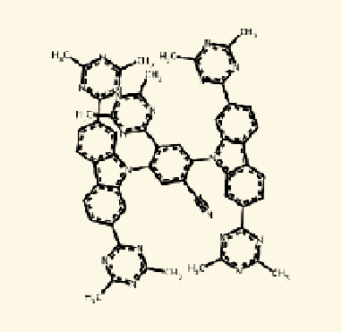 Cc1nc(C)nc(-c2ccc3c4ccc(-c5nc(C)nc(C)n5)cc4n(-c4cc(-c5nc(C)nc(C)n5)c(-n5c6cc(-c7nc(C)nc(C)n7)ccc6c6ccc(-c7nc(C)nc(C)n7)cc65)cc4C#N)c3c2)n1